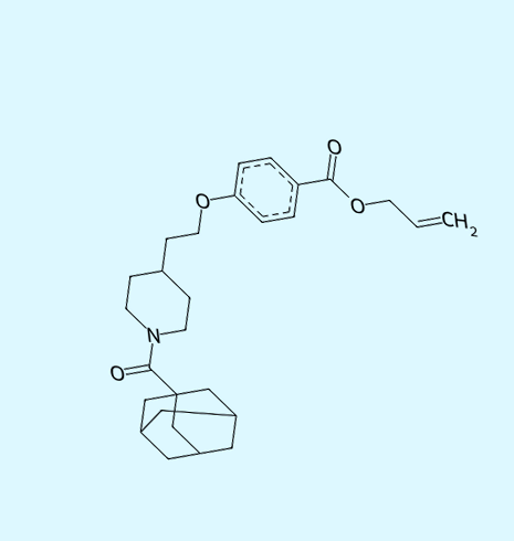 C=CCOC(=O)c1ccc(OCCC2CCN(C(=O)C34CC5CC(CC(C5)C3)C4)CC2)cc1